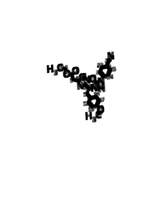 CCOC(=O)Cc1nc([C@H](Cc2ccc(OC)cc2)NC(=O)Nc2ccc(C#N)cc2)no1